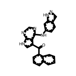 O=C(c1cccc2ccccc12)c1c[nH]c2ncnc(Nc3ccc4cn[nH]c4c3)c12